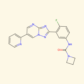 O=C(Nc1ccc(F)c(-c2nc3ncc(-c4ccccn4)cn3n2)c1)N1CCC1